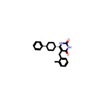 Cc1ccccc1Cc1c(=O)[nH]c(=O)[nH]c1[C@H]1CC[C@H](c2ccccc2)CC1